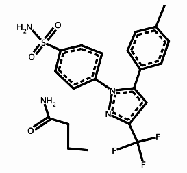 CCCC(N)=O.Cc1ccc(-c2cc(C(F)(F)F)nn2-c2ccc(S(N)(=O)=O)cc2)cc1